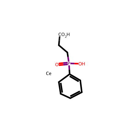 O=C(O)CCP(=O)(O)c1ccccc1.[Ce]